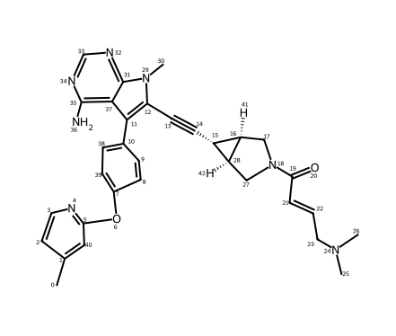 Cc1ccnc(Oc2ccc(-c3c(C#C[C@@H]4[C@H]5CN(C(=O)/C=C/CN(C)C)C[C@@H]45)n(C)c4ncnc(N)c34)cc2)c1